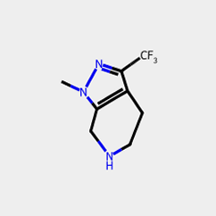 Cn1nc(C(F)(F)F)c2c1CNCC2